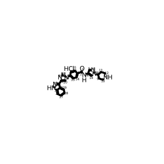 Cl.O=C(Nc1cnn(C2CCNCC2)c1)c1ccc(-n2cc(-c3n[nH]c4ccccc34)nn2)cc1